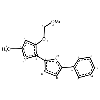 COCOc1cc(C)nn1-c1nc(-c2ccccc2)cs1